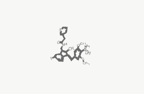 COc1cc(C=C2C(C)=C(CNC(=O)Cc3cccnc3)c3cc(F)ccc32)cc(OC)c1B(O)O